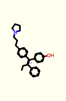 CC/C(=C(/c1ccc(O)cc1)c1ccc(CCCN2CCCC2)cc1)c1ccccc1